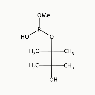 COB(O)OC(C)(C)C(C)(C)O